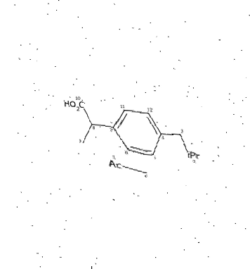 CC(C)=O.CC(C)Cc1ccc(C(C)C(=O)O)cc1